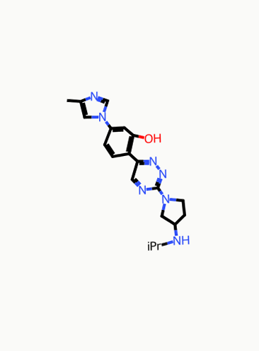 Cc1cn(-c2ccc(-c3cnc(N4CCC(NC(C)C)C4)nn3)c(O)c2)cn1